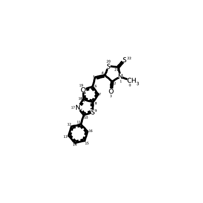 CN1C(=O)/C(=C\c2cc3sc(-c4ccccc4)nc3o2)SC1=S